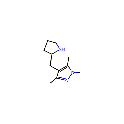 Cc1nn(C)c(C)c1C[C@H]1CCCN1